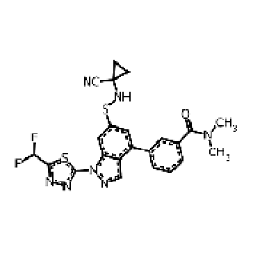 CN(C)C(=O)c1cccc(-c2cc(SNC3(C#N)CC3)cc3c2cnn3-c2nnc(C(F)F)s2)c1